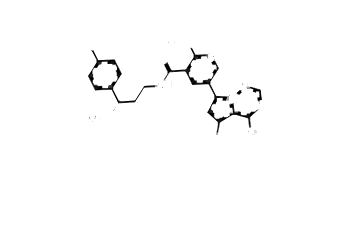 COc1ncc(-c2cc(C(F)(F)F)c3c(N)ncnn23)cc1C(=O)NCC[C@@H](OC)c1ccc(Cl)cc1